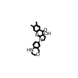 Cc1cc2c(cc1C)C(=O)[C@]1(O)CCN(c3ccc4c(c3)COCCN4)C1=N2